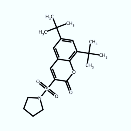 CC(C)(C)c1cc(C(C)(C)C)c2oc(=O)c(S(=O)(=O)N3CCCC3)cc2c1